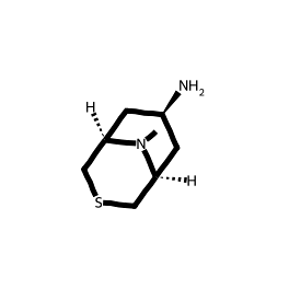 CN1[C@@H]2CSC[C@H]1C[C@@H](N)C2